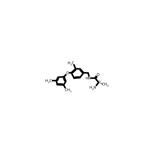 Cc1cc(C)cc(Oc2ccc(CNC(=O)[C@H](C)N)cc2C)c1